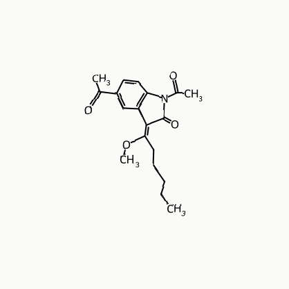 CCCCCC(OC)=C1C(=O)N(C(C)=O)c2ccc(C(C)=O)cc21